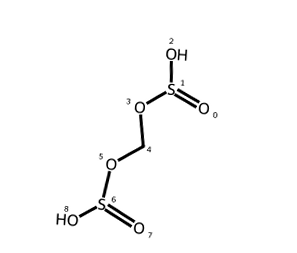 O=S(O)OCOS(=O)O